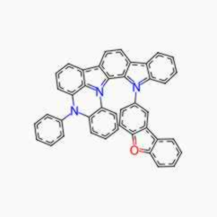 c1ccc(N2c3ccccc3-n3c4c2cccc4c2ccc4c5ccccc5n(-c5ccc6oc7ccccc7c6c5)c4c23)cc1